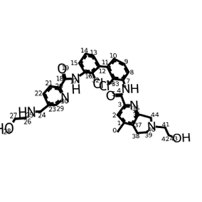 Cc1cc(C(=O)Nc2cccc(-c3cccc(NC(=O)c4ccc(CNCCO)cn4)c3Cl)c2Cl)nc2c1CCN(CCO)C2